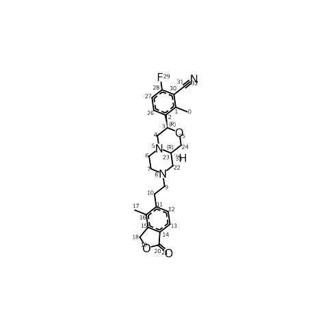 Cc1c([C@@H]2CN3CCN(CCc4ccc5c(c4C)COC5=O)C[C@@H]3CO2)ccc(F)c1C#N